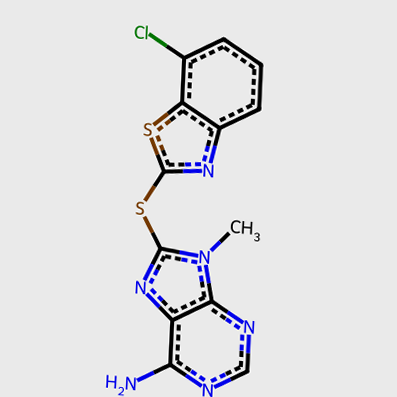 Cn1c(Sc2nc3cccc(Cl)c3s2)nc2c(N)ncnc21